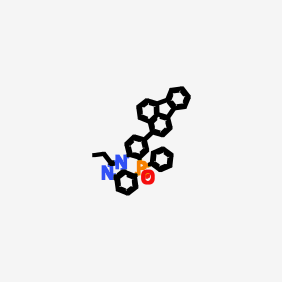 CCc1nc2cccc3c2n1-c1ccc(-c2ccc4c5c(cccc25)-c2ccccc2-4)cc1P3(=O)c1ccccc1